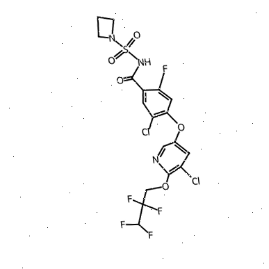 O=C(NS(=O)(=O)N1CCC1)c1cc(Cl)c(Oc2cnc(OCC(F)(F)C(F)F)c(Cl)c2)cc1F